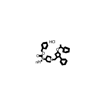 CCCN(C(=O)OCc1ccccc1)C1CCN(CC2CC(OC(C)c3ccccc3)CC2c2ccccc2)CC1.Cl